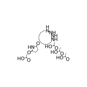 C1CCCCNNNNCCC1.CC(=O)O.CC(=O)O.CC(=O)O.CC(=O)O.O=C1CCC(=O)N1